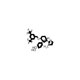 Cl.Cl.Cn1ccnc1[C@@H]1C[C@]2(c3ccccc3)N[C@H]1CC[C@H]2OCc1cc(C(F)(F)F)cc(C(F)(F)F)c1